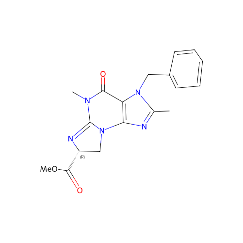 COC(=O)[C@H]1CN2C(=N1)N(C)C(=O)c1c2nc(C)n1Cc1ccccc1